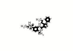 CCCc1c(C(=O)Nc2cc(S(=O)(=O)NOC)ccc2OC)cnn1-c1ccccc1